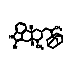 CN1C[C@H](CN(C)C23CC4CC(CC(C4)C2)C3)C[C@@H]2c3cccc4[nH]c(Br)c(c34)C[C@H]21